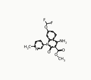 COC(=O)c1c(N)c2ccc(OC(F)F)cc2n(-c2ccc(C)nc2)c1=O